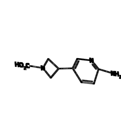 Nc1ccc(C2CN(C(=O)O)C2)cn1